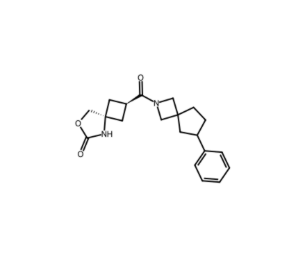 O=C1N[C@]2(CO1)C[C@H](C(=O)N1CC3(CCC(c4ccccc4)C3)C1)C2